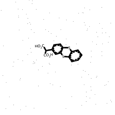 O=C(O)C(C(=O)O)c1ccc2c(c1)Sc1ccccc1S2